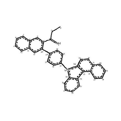 CCC(=N)c1cc2ccccc2cc1-c1ccc(-n2c3ccccc3c3c4ccccc4ccc32)cc1